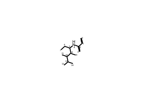 C=CC(=C)NC(CC)C(C)C(C)C(C)C